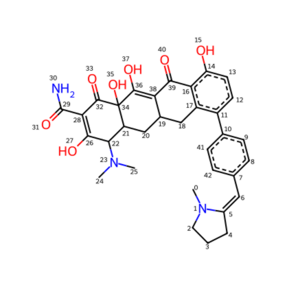 CN1CCCC1=Cc1ccc(-c2ccc(O)c3c2CC2CC4C(N(C)C)C(O)=C(C(N)=O)C(=O)C4(O)C(O)=C2C3=O)cc1